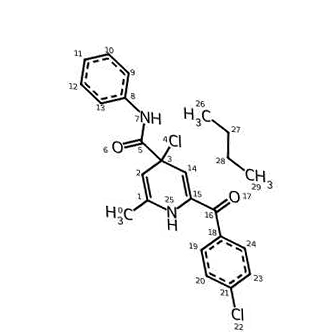 CC1=CC(Cl)(C(=O)Nc2ccccc2)C=C(C(=O)c2ccc(Cl)cc2)N1.CCCC